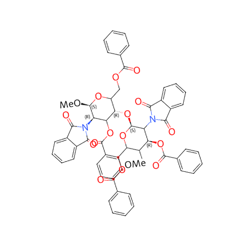 COC1C(COC(=O)c2ccccc2)O[C@@H](O[C@H]2C(COC(=O)c3ccccc3)O[C@H](OC)[C@H](N3C(=O)c4ccccc4C3=O)C2OC(=O)c2ccccc2)C(N2C(=O)c3ccccc3C2=O)[C@H]1OC(=O)c1ccccc1